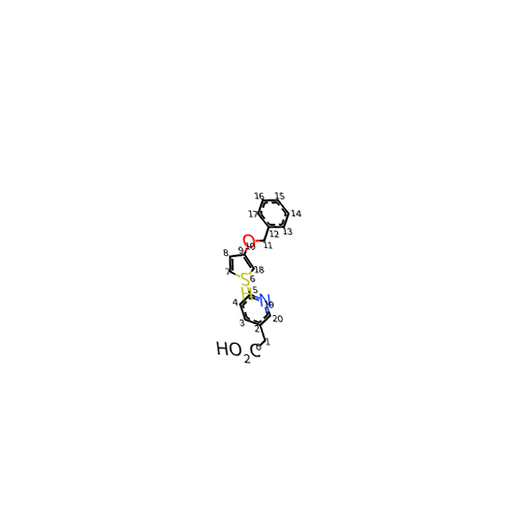 O=C(O)Cc1ccc([SH]2C=CC(OCc3ccccc3)=C2)nc1